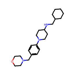 c1cc(N2CCC(NCC3CCCCC3)CC2)ccc1CN1CCOCC1